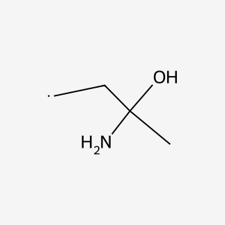 [CH2]CC(C)(N)O